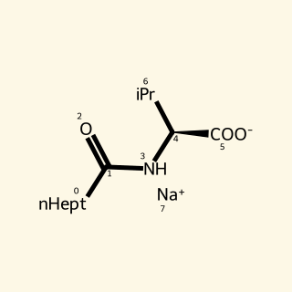 CCCCCCCC(=O)N[C@H](C(=O)[O-])C(C)C.[Na+]